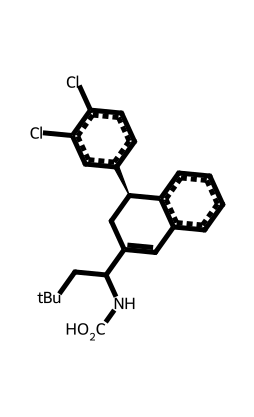 CC(C)(C)CC(NC(=O)O)C1=Cc2ccccc2[C@H](c2ccc(Cl)c(Cl)c2)C1